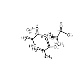 C=C(C)C(=O)[O-].C=C(C)C(=O)[O-].C=C(C)C(=O)[O-].[Gd+3]